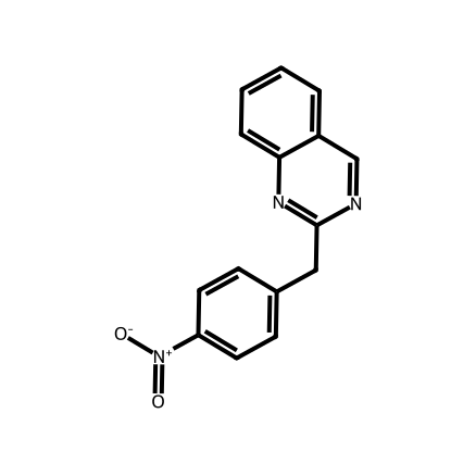 O=[N+]([O-])c1ccc(Cc2ncc3ccccc3n2)cc1